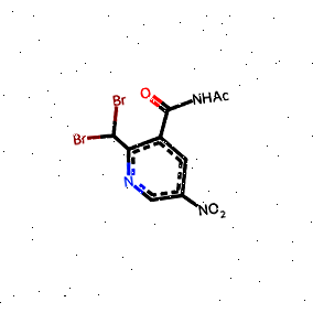 CC(=O)NC(=O)c1cc([N+](=O)[O-])cnc1C(Br)Br